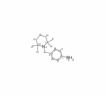 Bc1ccc(CN2C(C)(C)CCCC2(C)C)cc1